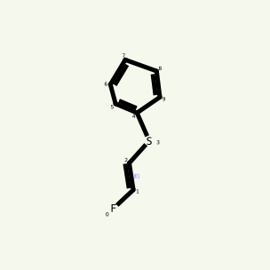 F/C=C/Sc1ccccc1